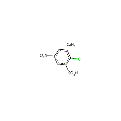 O=[N+]([O-])c1ccc(Cl)c(S(=O)(=O)O)c1.[CaH2]